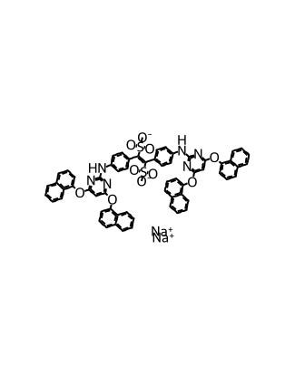 O=S(=O)([O-])C(=C(c1ccc(Nc2nc(Oc3cccc4ccccc34)cc(Oc3cccc4ccccc34)n2)cc1)S(=O)(=O)[O-])c1ccc(Nc2nc(Oc3cccc4ccccc34)cc(Oc3cccc4ccccc34)n2)cc1.[Na+].[Na+]